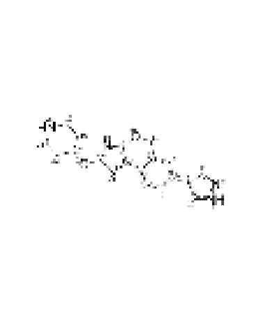 c1cc2c(cc1-c1cn[nH]c1)COc1nc(OC3CCNCC3)sc1-2